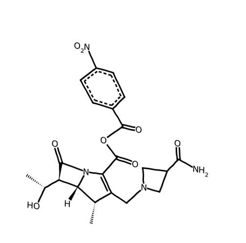 C[C@@H](O)[C@H]1C(=O)N2C(C(=O)OC(=O)c3ccc([N+](=O)[O-])cc3)=C(CN3CC(C(N)=O)C3)[C@H](C)[C@H]12